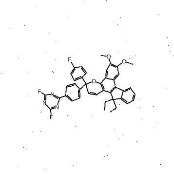 CCC1(CC)c2ccccc2-c2c1c1c(c3cc(OC)c(OC)cc23)OC(c2ccc(F)cc2)(c2ccc(-c3nc(F)nc(F)n3)cc2)C=C1